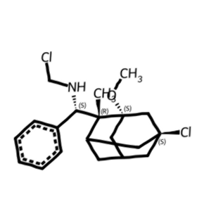 CO[C@@]12CC3CC(C[C@@](Cl)(C3)C1)[C@]2(C)[C@@H](NCCl)c1ccccc1